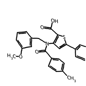 COc1cccc(CN(C(=O)c2ccc(C)cc2)c2cc(-c3ccccc3)sc2C(=O)O)c1